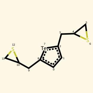 c1cc(CC2CS2)[te]c1CC1CS1